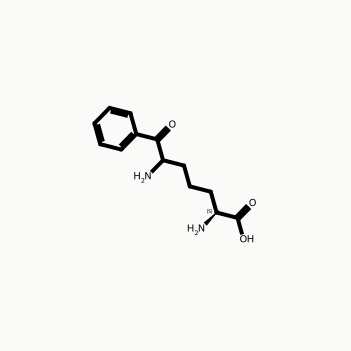 NC(CCC[C@H](N)C(=O)O)C(=O)c1ccccc1